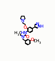 CCN(Cc1cccc(OC)c1)C(=O)Nc1ccc(-c2cn[nH]c2)cc1OCCN1CCCC1